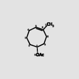 CC(=O)OC1CCCC=C(C)CC1